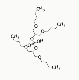 CCCCOCC(COCCCC)OP(=O)(O)OC(COCCCC)COCCCC